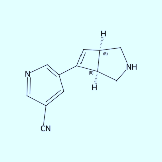 N#Cc1cncc(C2=C[C@H]3CNC[C@@H]23)c1